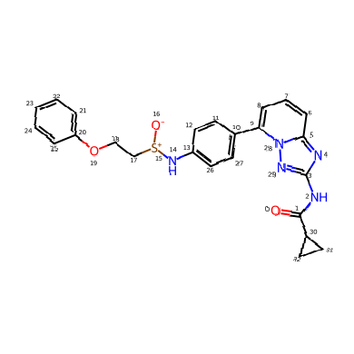 O=C(Nc1nc2cccc(-c3ccc(N[S+]([O-])CCOc4ccccc4)cc3)n2n1)C1CC1